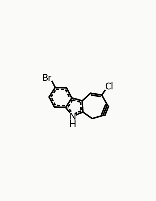 ClC1=Cc2c([nH]c3ccc(Br)cc23)CC#C1